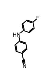 N#Cc1ccc(Nc2ccc(F)cc2)cc1